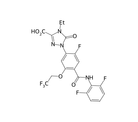 CCn1c(C(=O)O)nn(-c2cc(OCC(F)(F)F)c(C(=O)Nc3c(F)cccc3F)cc2F)c1=O